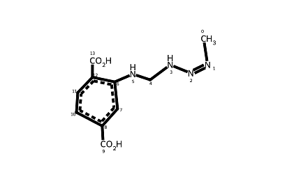 C/N=N\NCNc1cc(C(=O)O)ccc1C(=O)O